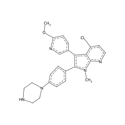 COc1ccc(-c2c(-c3ccc(N4CCNCC4)cc3)n(C)c3nccc(Cl)c23)cn1